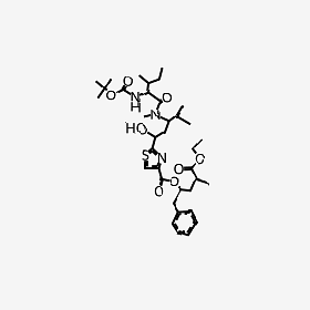 CCOC(=O)C(C)CC(Cc1ccccc1)OC(=O)c1csc(C(O)CC(C(C)C)N(C)C(=O)C(NC(=O)OC(C)(C)C)C(C)CC)n1